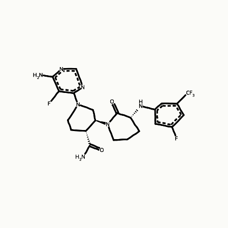 NC(=O)[C@@H]1CCN(c2ncnc(N)c2F)C[C@H]1N1CCC[C@@H](Nc2cc(F)cc(C(F)(F)F)c2)C1=O